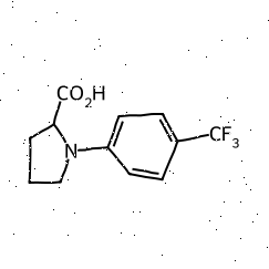 O=C(O)C1CCCN1c1ccc(C(F)(F)F)cc1